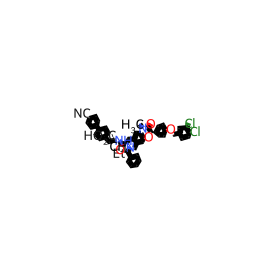 CC[C@@H](c1ccccc1)N1Cc2cc3c(cc2CC1C(=O)N[C@@](C)(Cc1ccc(-c2ccc(C#N)cc2)cc1)C(=O)O)N(C)C(=O)[C@H](c1ccc(OCc2ccc(Cl)c(Cl)c2)cc1)O3